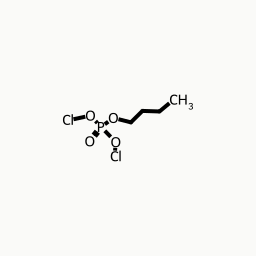 CCCCOP(=O)(OCl)OCl